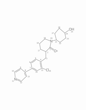 O=C1C(Cc2ccc(-c3ccncc3)cc2Cl)CCCN1C1CCC(O)CC1